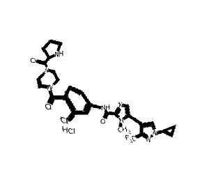 Cl.Cn1c(-c2cn(C3CC3)nc2C(F)(F)F)cnc1C(=O)Nc1ccc(C(=O)N2CCN(C(=O)C3CCCN3)CC2)c(Cl)c1